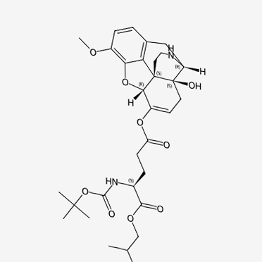 COc1ccc2c3c1O[C@H]1C(OC(=O)CC[C@H](NC(=O)OC(C)(C)C)C(=O)OCC(C)C)=CC[C@@]4(O)[C@@H](C2)NCC[C@]314